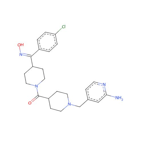 Nc1cc(CN2CCC(C(=O)N3CCC(C(=NO)c4ccc(Cl)cc4)CC3)CC2)ccn1